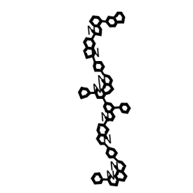 c1ccc(-c2ccc3ccc4ccc(-c5ccc(-c6ccc7ccc(-c8ccc9c(-c%10ccccc%10)cc(-c%10cc(-c%11ccccc%11)nc%11c%10ccc%10ccc(-c%12ccc(-c%13ccc%14ccc(-c%15ccc%16c(-c%17ccc%18ccccc%18c%17)cccc%16n%15)cc%14n%13)cc%12)nc%10%11)cc9n8)cc7n6)cc5)nc4c3n2)cc1